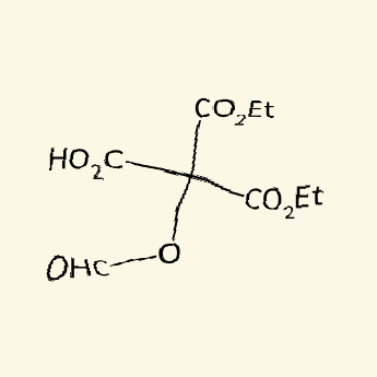 CCOC(=O)C(OC=O)(C(=O)O)C(=O)OCC